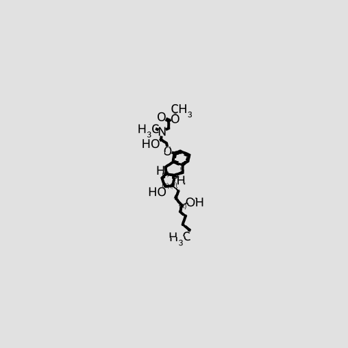 CCCCC[C@@H](O)CC[C@@H]1[C@H]2Cc3cccc(OCC(O)N(C)CC(=O)OC)c3C[C@H]2C[C@H]1O